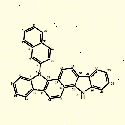 c1ccc2cc(-n3c4ccccc4c4ccc5c(ccc6c7ccccc7[nH]c65)c43)ccc2c1